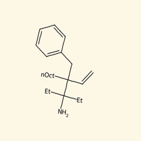 C=CC(CCCCCCCC)(Cc1ccccc1)C(N)(CC)CC